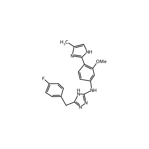 COc1cc(Nc2nnc(Cc3ccc(F)cc3)[nH]2)ccc1-c1nc(C)c[nH]1